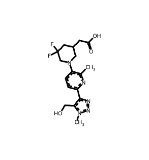 Cc1nc(-c2nnn(C)c2CO)ccc1N1CC(CC(=O)O)CC(F)(F)C1